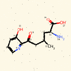 CC(CC(=O)c1ncccc1O)C[C@H](N)C(=O)O